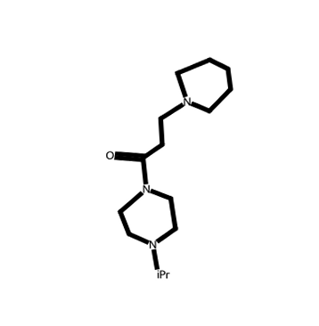 CC(C)N1CCN(C(=O)CCN2CCCCC2)CC1